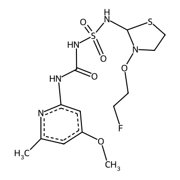 COc1cc(C)nc(NC(=O)NS(=O)(=O)NC2SCCN2OCCF)c1